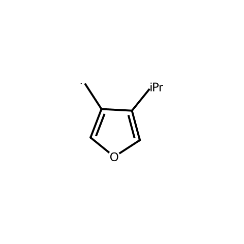 [CH2]c1cocc1C(C)C